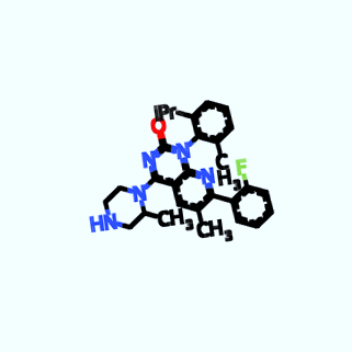 Cc1cc2c(N3CCNCC3C)nc(=O)n(-c3c(C)cccc3C(C)C)c2nc1-c1ccccc1F